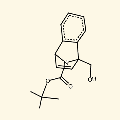 CC(C)(C)OC(=O)N1C2C=CC1(CO)c1ccccc12